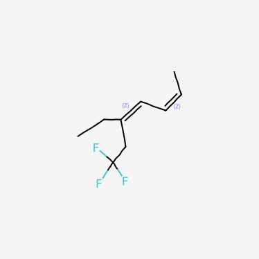 C/C=C\C=C(\CC)CC(F)(F)F